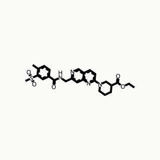 CCOC(=O)C1CCCN(c2ccc3cnc(CNC(=O)c4ccc(C)c(S(C)(=O)=O)c4)cc3n2)C1